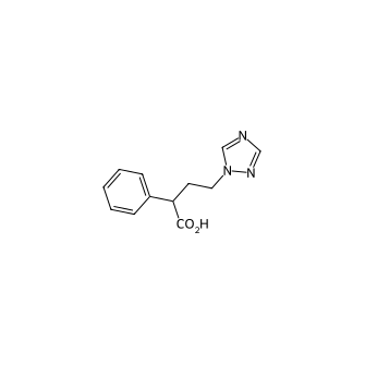 O=C(O)C(CCn1cncn1)c1ccccc1